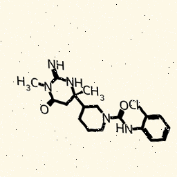 CN1C(=N)N[C@](C)(C2CCCN(C(=O)Nc3ccccc3Cl)C2)CC1=O